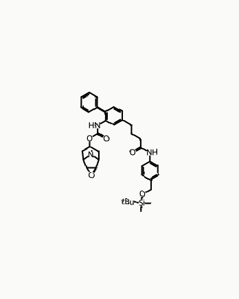 CN1C2CC(OC(=O)Nc3cc(CCCC(=O)Nc4ccc(CO[Si](C)(C)C(C)(C)C)cc4)ccc3-c3ccccc3)CC1C1OC12